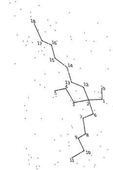 [CH2]CC(CCC)(CCCCCC)CCCCCCC